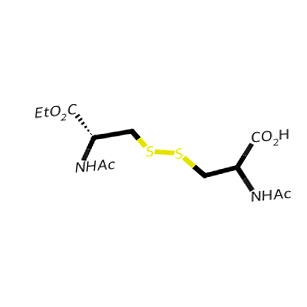 CCOC(=O)[C@H](CSSCC(NC(C)=O)C(=O)O)NC(C)=O